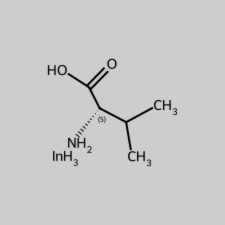 CC(C)[C@H](N)C(=O)O.[InH3]